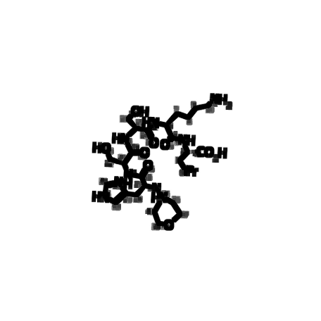 CC(C)C[C@H](NC(=O)[C@H](CCCCN)NC(=O)[C@H](CO)NC(=O)[C@H](CO)NC(=O)[C@H](Cc1c[nH]cn1)NN1CCOCC1)C(=O)O